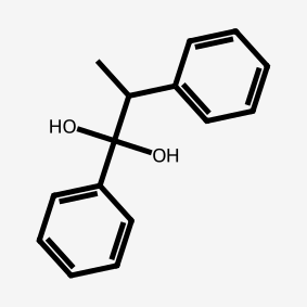 CC(c1ccccc1)C(O)(O)c1ccccc1